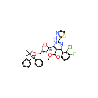 COC(=O)C1=C([C@H]2C[C@@H](CO[Si](c3ccccc3)(c3ccccc3)C(C)(C)C)CO2)NC(c2nccs2)=NC1c1cccc(F)c1Cl